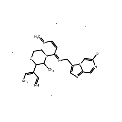 C=N/C=C\C(=N/Cc1cnc2cnc(Br)cn12)N1CCOC(/C(C=N)=C/N)C1C